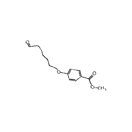 COC(=O)c1ccc(OCCCCCC=O)cc1